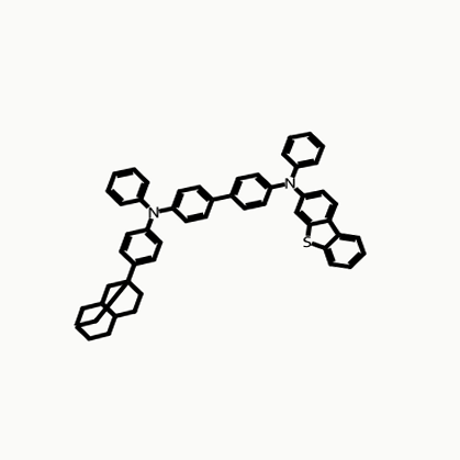 c1ccc(N(c2ccc(-c3ccc(N(c4ccccc4)c4ccc5c(c4)sc4ccccc45)cc3)cc2)c2ccc(C34CCC5CCC(CC5C3)C4)cc2)cc1